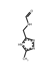 Cc1nnc(CNC=O)[nH]1